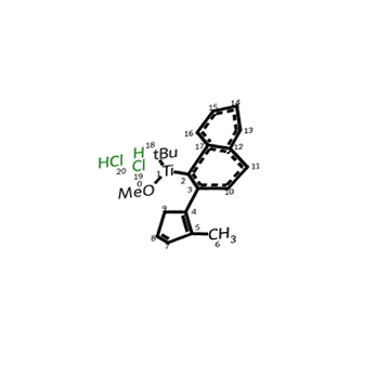 C[O][Ti]([c]1c(C2=C(C)C=CC2)ccc2ccccc12)[C](C)(C)C.Cl.Cl